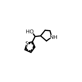 OC(c1cccs1)C1CCNC1